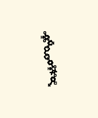 CC1(C)[C@H](NC(=O)c2ccc(N3CCN(CC4CCN(c5cncc(-n6ccc(=O)[nH]c6=O)c5)CC4)CC3)cc2)C(C)(C)[C@H]1Oc1ccc(C#N)c(Cl)c1